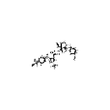 C=C[C@@]1(C(=O)NNC(=O)c2cn(C(F)(F)F)nc2Nc2ccc(C(F)(F)F)cc2)CCN(Cc2ccc(OC)cc2)C1=O